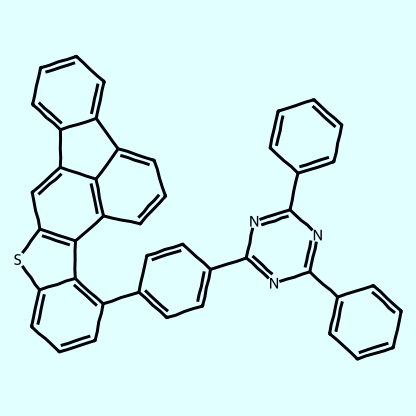 c1ccc(-c2nc(-c3ccccc3)nc(-c3ccc(-c4cccc5sc6cc7c8c(cccc8c6c45)-c4ccccc4-7)cc3)n2)cc1